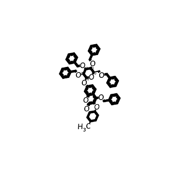 C[C@H]1CC[C@@H](Oc2c(OCc3ccccc3)c3ccc(O[C@@H]4O[C@H](COCc5ccccc5)[C@@H](OCc5ccccc5)[C@H](OCc5ccccc5)[C@H]4OCc4ccccc4)cc3oc2=O)CC1